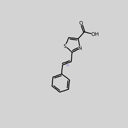 O=C(O)c1csc(/C=C/c2ccccc2)n1